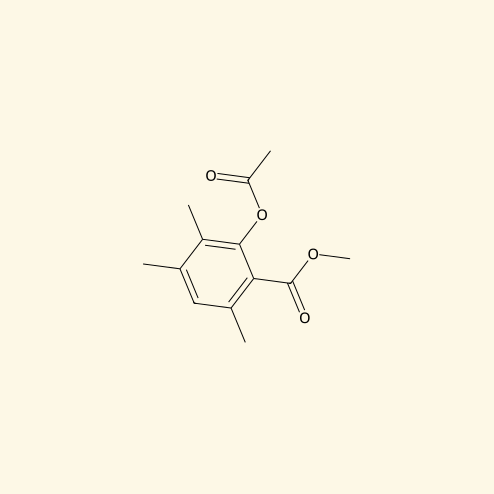 COC(=O)c1c(C)cc(C)c(C)c1OC(C)=O